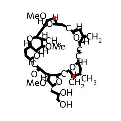 C=C1C[C@@H]2CC[C@@H]3CC(OC)[C@@H](O3)C3O[C@H]4CC[C@H](CC(=O)C[C@H]5C(C[C@H]6O[C@@H](CC[C@@H]1O2)C[C@@H](C)C6=C)O[C@H](C[C@H](O)CO)[C@@H]5OC)O[C@@H]4[C@H](OC)[C@@H]3C